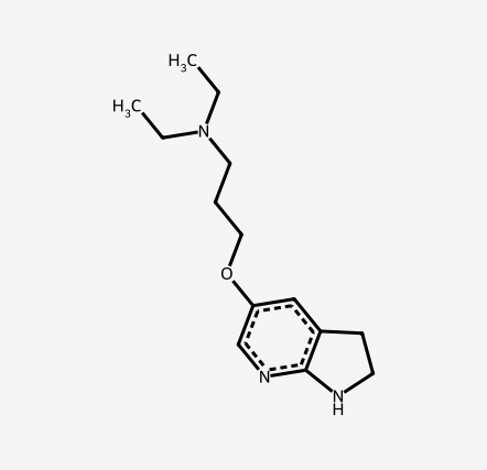 CCN(CC)CCCOc1cnc2c(c1)CCN2